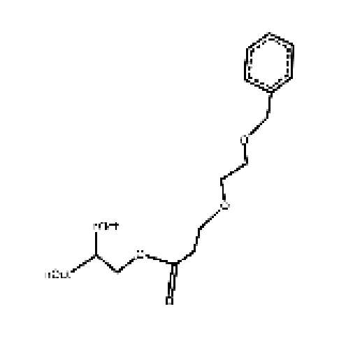 CCCCCCCCC(CCCCCCCC)COC(=O)CCOCCOCc1ccccc1